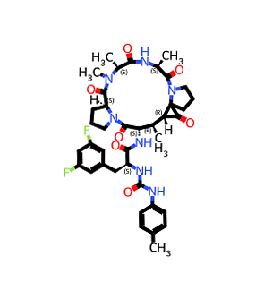 Cc1ccc(NC(=O)N[C@@H](Cc2cc(F)cc(F)c2)C(=O)N[C@@H]2C(=O)N3CCC[C@H]3C(=O)N(C)[C@@H](C)C(=O)N[C@@H](C)C(=O)N3CCCC34C(=O)[C@@H]4[C@H]2C)cc1